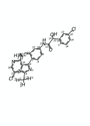 [2H]C([2H])([2H])c1nc(-c2ccc(NC(=O)[C@@H](O)c3cccc(Cl)c3)cc2C)c2c(N)ncc(Cl)n12